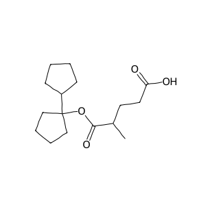 CC(CCC(=O)O)C(=O)OC1(C2CCCC2)CCCC1